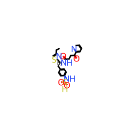 CCc1csc([C@H](Cc2ccc(N[SH](=O)=O)cc2)NC(=O)CCC(=O)c2ccccn2)n1